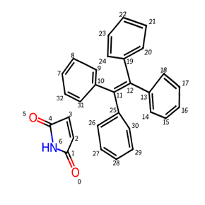 O=C1C=CC(=O)N1.c1ccc(C(=C(c2ccccc2)c2ccccc2)c2ccccc2)cc1